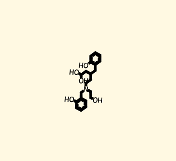 OCCN(CCC(Cc1ccccc1O)CC(O)O)Cc1ccccc1O